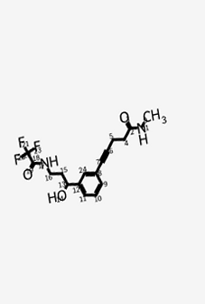 CNC(=O)CCC#Cc1cccc(C(O)CCNC(=O)C(F)(F)F)c1